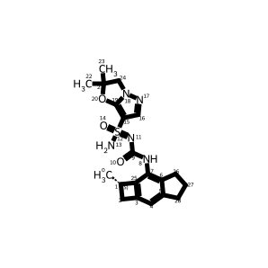 C[C@H]1Cc2cc3c(c(NC(=O)N=S(N)(=O)c4cnn5c4OC(C)(C)C5)c21)CCC3